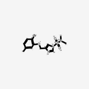 Cc1ccc(Br)c(OCc2cn(S(=O)(=O)N(C)C)cn2)c1